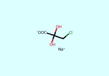 O=C([O-])C(O)(O)CCl.[Na+]